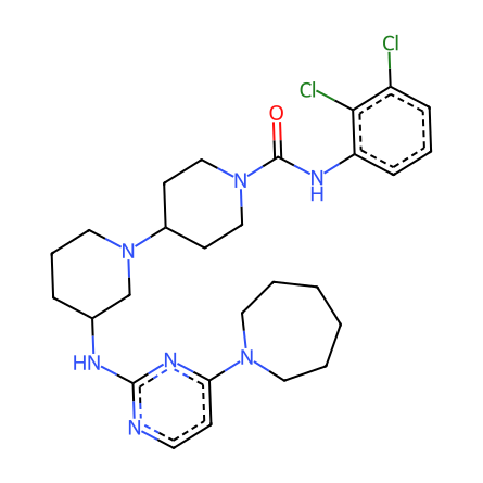 O=C(Nc1cccc(Cl)c1Cl)N1CCC(N2CCCC(Nc3nccc(N4CCCCCC4)n3)C2)CC1